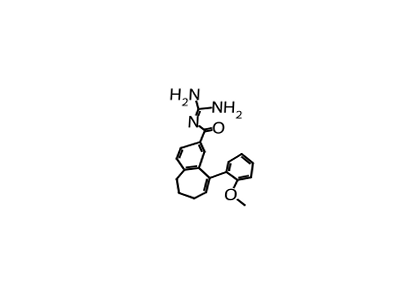 COc1ccccc1C1=CCCCc2ccc(C(=O)N=C(N)N)cc21